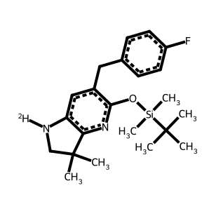 [2H]N1CC(C)(C)c2nc(O[Si](C)(C)C(C)(C)C)c(Cc3ccc(F)cc3)cc21